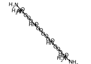 NCCCC[C@H](N)C(=O)NCCCOCCOCCOCCCNC(=O)CCOCCOCCOCCOCCOCCC(=O)NCCCOCCOCCOCCCNC(=O)[C@@H](N)CCCCN